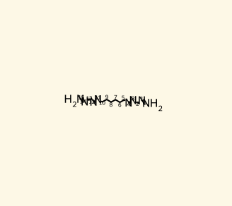 NN=CN=NCCCCCCN=NC=NN